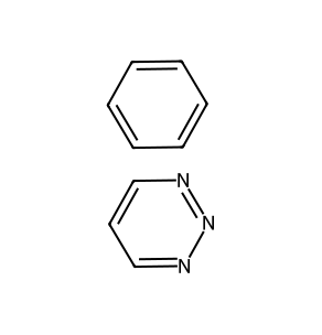 c1ccccc1.c1cnnnc1